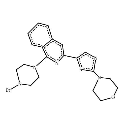 CCN1CCN(c2nc(-c3cnc(N4CCOCC4)s3)cc3ccccc23)CC1